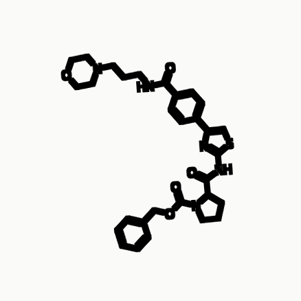 O=C(NCCCN1CCOCC1)c1ccc(-c2csc(NC(=O)C3CCCN3C(=O)OCc3ccccc3)n2)cc1